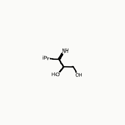 CC(C)C(=N)C(O)CO